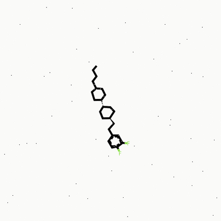 CCCCC1CCC([C@H]2CC[C@H](CCc3ccc(F)c(F)c3)CC2)CC1